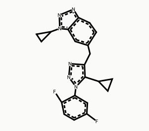 Fc1ccc(F)c(-n2nnc(Cc3ccc4nnn(C5CC5)c4c3)c2C2CC2)c1